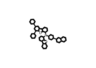 c1ccc(-c2cc(-c3ccccc3)c3oc4c(N(c5ccc(-c6ccc7ccccc7c6)cc5)c5cccc6c5sc5ccccc56)cccc4c3c2)cc1